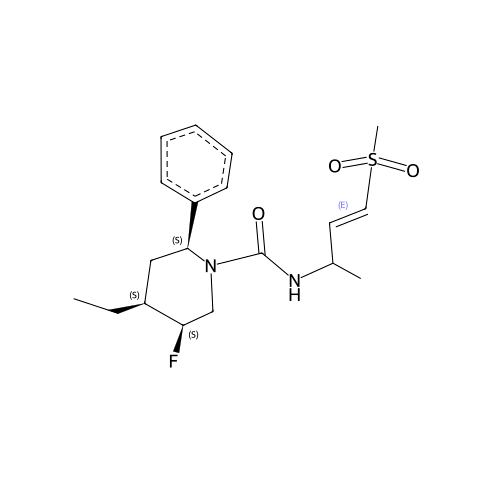 CC[C@H]1C[C@@H](c2ccccc2)N(C(=O)NC(C)/C=C/S(C)(=O)=O)C[C@H]1F